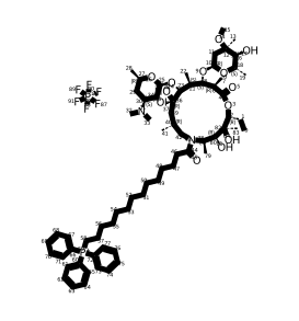 CC[C@H]1OC(=O)[C@H](C)[C@@H](O[C@H]2C[C@@](C)(OC)[C@@H](O)[C@H](C)O2)[C@H](C)[C@@H](O[C@@H]2O[C@H](C)C[C@H](N(C)C)[C@H]2O)[C@](C)(O)C[C@@H](C)CN(C(=O)CCCCCCCCCCCCC[P+](c2ccccc2)(c2ccccc2)c2ccccc2)[C@H](C)[C@@H](O)[C@]1(C)O.F[P-](F)(F)(F)(F)F